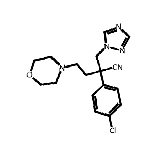 N#CC(CCN1CCOCC1)(Cn1cncn1)c1ccc(Cl)cc1